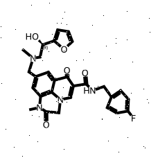 CN(Cc1cc2c3c(c1)c(=O)c(C(=O)NCc1ccc(F)cc1)cn3CC(=O)N2C)C[C@@H](O)c1ccco1